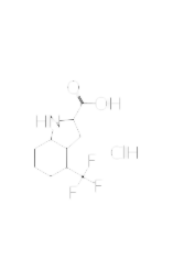 Cl.O=C(O)C1CC2C(CCCC2C(F)(F)F)N1